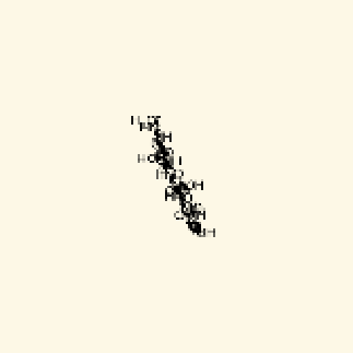 CC(=O)NCCNC(=O)CN(CC(=O)O)C(=O)CNC(=O)CNC(=O)CN(CC(=O)O)C(=O)CNC(=O)CNC(=O)[C@H](Cc1ccc(O)cc1)NC=O